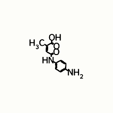 CC(=CC(=O)Nc1ccc(N)cc1)C(=O)O